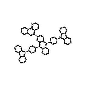 c1ccc2c(c1)cc(-c1ccc3c(-c4ccc(-n5c6ccccc6c6ccccc65)cc4)c4ccccc4c(-c4ccc(-n5c6ccccc6c6ccccc65)cc4)c3c1)c1cccnc12